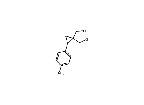 Nc1ccc(C2CC2(CCl)CCl)cc1